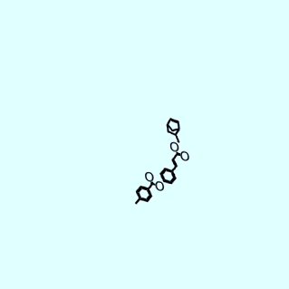 Cc1ccc(C(=O)Oc2ccc(/C=C/C(=O)OCC3CC4C=CC3C4)cc2)cc1